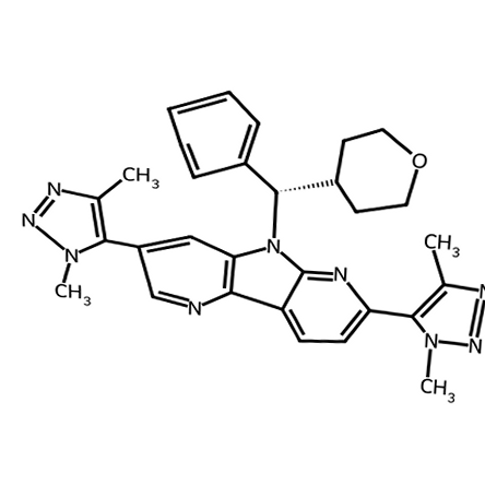 Cc1nnn(C)c1-c1cnc2c3ccc(-c4c(C)nnn4C)nc3n([C@H](c3ccccc3)C3CCOCC3)c2c1